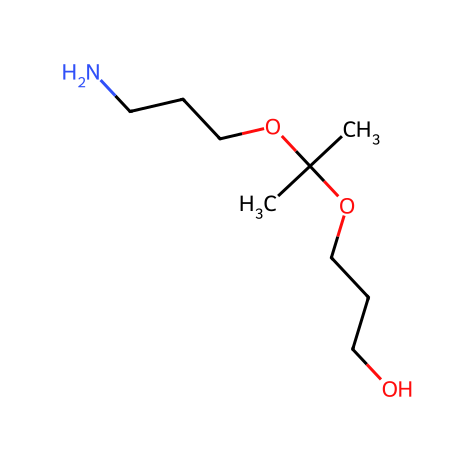 CC(C)(OCCCN)OCCCO